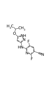 CC(C)Oc1cc(Nc2nc(F)c(C#N)cc2F)n[nH]1